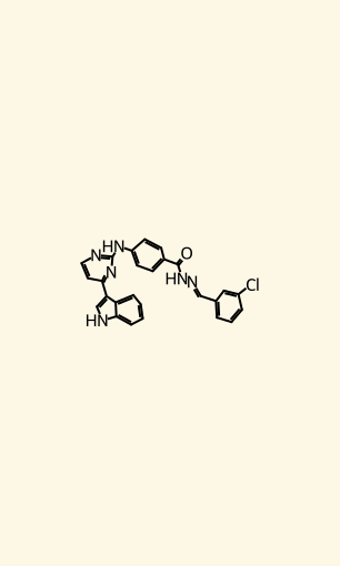 O=C(NN=Cc1cccc(Cl)c1)c1ccc(Nc2nccc(-c3c[nH]c4ccccc34)n2)cc1